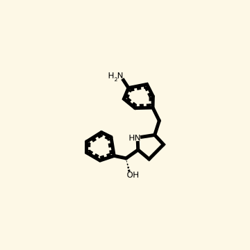 Nc1ccc(CC2CCC([C@H](O)c3ccccc3)N2)cc1